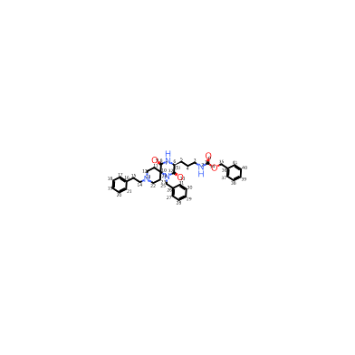 O=C(NCCC[C@@H]1NC(=O)C2(CCN(CCc3ccccc3)CC2)N(Cc2ccccc2)C1=O)OCc1ccccc1